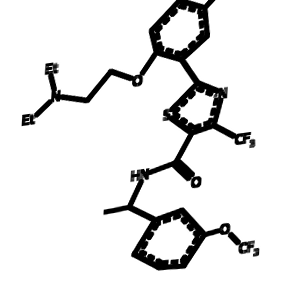 CCN(CC)CCOc1ccc(F)cc1-c1nc(C(F)(F)F)c(C(=O)NC(C)c2cccc(OC(F)(F)F)c2)s1